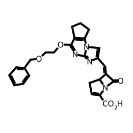 O=C(O)C1=CCC2/C(=C\c3cn4c5c(c(OCCOCc6ccccc6)nc4n3)CCC5)C(=O)N12